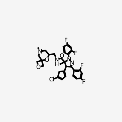 CN1CC(CNC(=O)C2(C)C(C3=CC=C(Cl)C3)C(c3ccc(F)cc3F)=NN2c2ccc(F)cc2F)OC2(COC2)C1